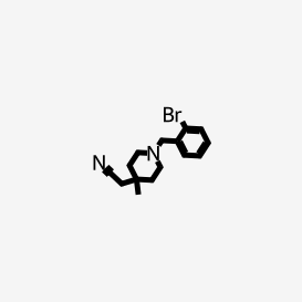 CC1(CC#N)CCN(Cc2ccccc2Br)CC1